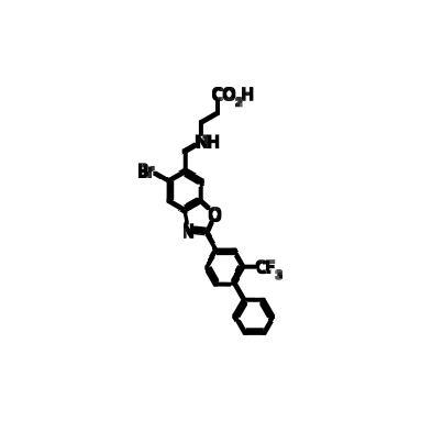 O=C(O)CCNCc1cc2oc(-c3ccc(-c4ccccc4)c(C(F)(F)F)c3)nc2cc1Br